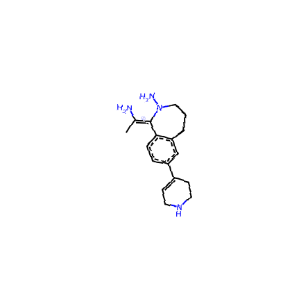 C/C(N)=C1\c2ccc(C3=CCNCC3)cc2CCCN1N